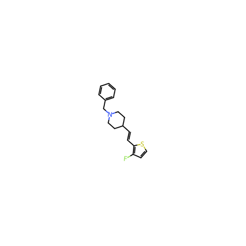 Fc1ccsc1C=CC1CCN(Cc2ccccc2)CC1